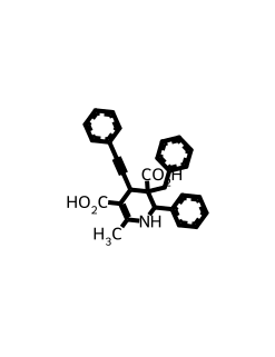 CC1=C(C(=O)O)C(C#Cc2ccccc2)C(Cc2ccccc2)(C(=O)O)C(c2ccccc2)N1